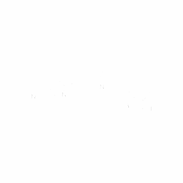 CC[C@@]12CCC(N3CC(COc4ccc(C#N)cn4)C(C)(C)C3=O)CC[C@H]1C2C(=O)O